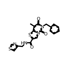 Cc1c(=O)n(Cc2ccccc2)c(=O)n2cc(C(=O)NCc3cscn3)sc12